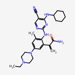 C=C(C(N)=O)c1cc(N2CCN(CC)CC2)cc(C)c1Nc1ncc(C#N)c(NC2CCCCC2)n1